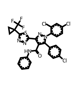 O=C(Nc1ccccc1)c1c(-c2nnc(C3(C(F)(F)F)CC3)s2)nn(-c2ccc(Cl)cc2Cl)c1-c1ccc(Cl)cc1